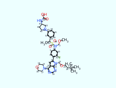 COCN(c1ccc(-c2cc3c(N4CCOCC4)ncnc3n2COCC[Si](C)(C)C)c(F)c1)S(=O)(=O)C(C)c1cccc(N2CC[C@@H](NC(=O)O)C2)c1